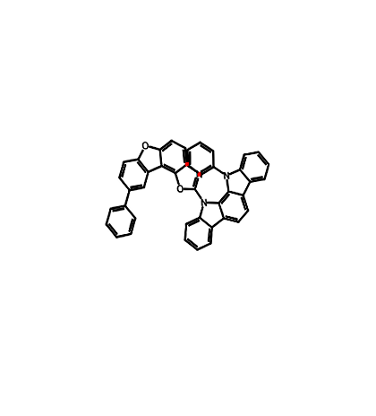 c1ccc(-c2ccc3oc4ccc5nc(-n6c7ccccc7c7ccc8c9ccccc9n(-c9ccccc9)c8c76)oc5c4c3c2)cc1